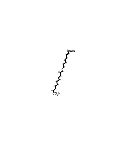 CCCCCCCCCC=CCC=CCCCCCCCCCCCCCC(=O)O